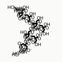 Cl.Cl.Cl.O=C(O)CC(O)(CC(=O)OC(CC(=O)O)(CC(=O)O)C(=O)O)C(=O)O.O=C(O)CC(O)(CC(=O)OC(CC(=O)O)(CC(=O)O)C(=O)O)C(=O)O.O=C(O)CC(O)(CC(=O)OC(CC(=O)O)(CC(=O)O)C(=O)O)C(=O)O.O=C([O-])CC(O)(CC(=O)[O-])C(=O)[O-].[Na+].[Na+].[Na+].[NaH].[NaH].[NaH]